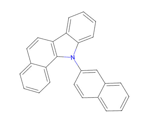 c1ccc2cc(-n3c4ccccc4c4ccc5ccccc5c43)ccc2c1